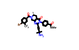 CNC(=O)c1ccc(-n2c(C#CC(C)(C)N)nc3c(c2=O)C[C@@H](C)N(C(=O)c2ccc(Br)c(C(F)(F)F)c2)C3)cc1